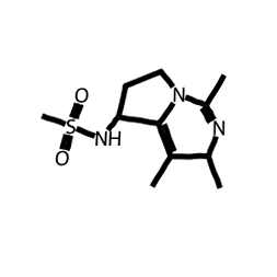 CC1=NC(C)C(C)=C2C(NS(C)(=O)=O)CCN12